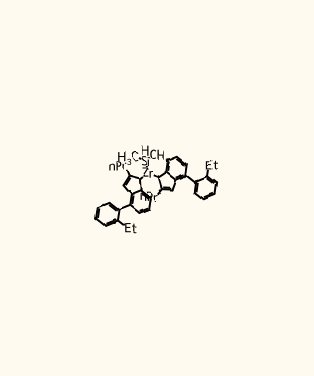 CCCC1=Cc2c(-c3ccccc3CC)cccc2[CH]1[Zr]([CH]1C(CCC)=Cc2c(-c3ccccc3CC)cccc21)[SiH](C)C